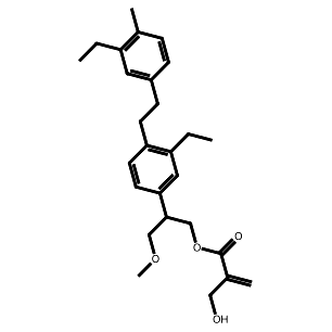 C=C(CO)C(=O)OCC(COC)c1ccc(CCc2ccc(C)c(CC)c2)c(CC)c1